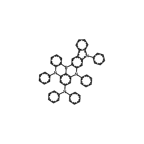 c1ccc(N(c2ccccc2)c2cc3c4c(c2)N(c2ccccc2)c2cc5c(cc2B4c2ccccc2N3c2ccccc2)c2ccccc2n5-c2ccccc2)cc1